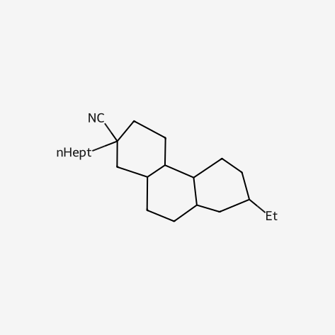 CCCCCCCC1(C#N)CCC2C(CCC3CC(CC)CCC32)C1